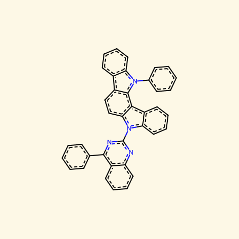 c1ccc(-c2nc(-n3c4ccccc4c4c3ccc3c5ccccc5n(-c5ccccc5)c34)nc3ccccc23)cc1